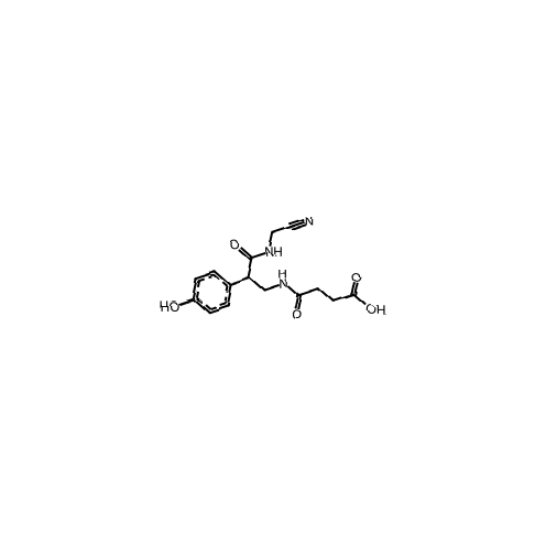 N#CCNC(=O)C(CNC(=O)CCC(=O)O)c1ccc(O)cc1